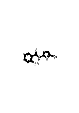 N#Cc1ccc(NC(=O)c2ccccc2N)s1